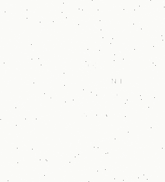 O=C(O)C1NOC2=C1CC(CC(F)(F)F)OC2